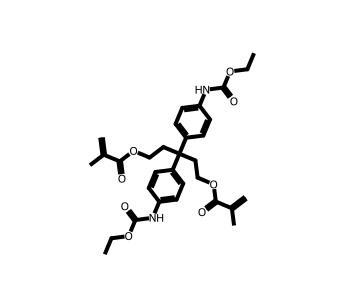 C=C(C)C(=O)OCCC(CCOC(=O)C(=C)C)(c1ccc(NC(=O)OCC)cc1)c1ccc(NC(=O)OCC)cc1